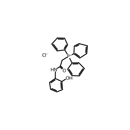 O=C(C[P+](c1ccccc1)(c1ccccc1)c1ccccc1)Nc1ccccc1O.[Cl-]